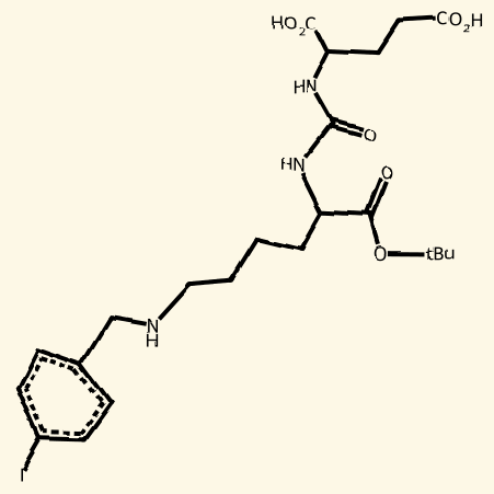 CC(C)(C)OC(=O)C(CCCCNCc1ccc(I)cc1)NC(=O)NC(CCC(=O)O)C(=O)O